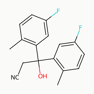 Cc1ccc(F)cc1C(O)(CC#N)c1cc(F)ccc1C